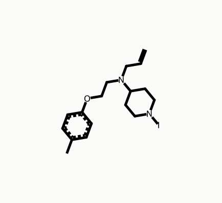 C=CCN(CCOc1ccc(C)cc1)C1CCN(I)CC1